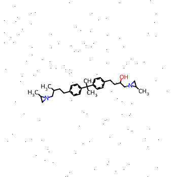 CC(CCc1ccc(C(C)(C)c2ccc(CCC(O)CN3CC3C)cc2)cc1)CN1CC1C